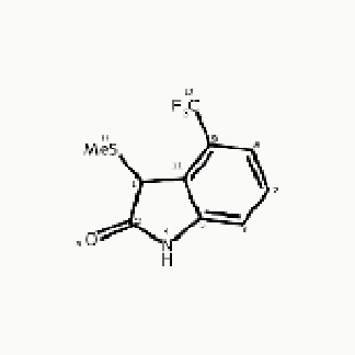 CSC1C(=O)Nc2cccc(C(F)(F)F)c21